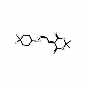 CC1(C)OC(=O)C(=C/C=N\NC2CCC(F)(F)CC2)C(=O)O1